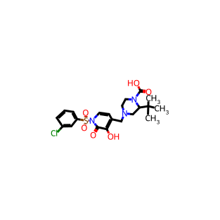 CC(C)(C)C1CN(Cc2ccn(S(=O)(=O)c3cccc(Cl)c3)c(=O)c2O)CCN1C(=O)O